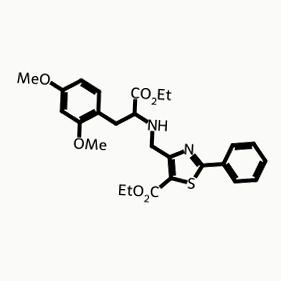 CCOC(=O)c1sc(-c2ccccc2)nc1CNC(Cc1ccc(OC)cc1OC)C(=O)OCC